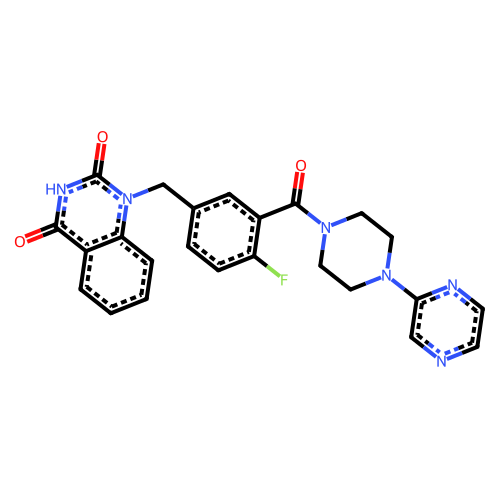 O=C(c1cc(Cn2c(=O)[nH]c(=O)c3ccccc32)ccc1F)N1CCN(c2cnccn2)CC1